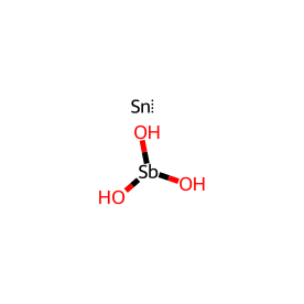 [OH][Sb]([OH])[OH].[Sn]